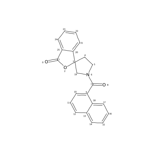 O=C1OC2(CCN(C(=O)c3cccc4ccccc34)C2)c2ccccc21